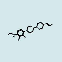 C/C=C/[C@H]1CC[C@H]([C@H]2CC[C@H](c3ccc(OCC)c(F)c3F)CC2)CC1